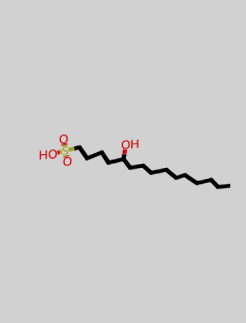 CCCCCCCCCCC(O)CCCCS(=O)(=O)O